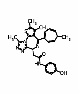 Cc1sc2c(c1C)C(C1=CC=CC(C)C=C1)=N[C@@H](CC(=O)Nc1ccc(O)cc1)c1nnc(C)n1-2